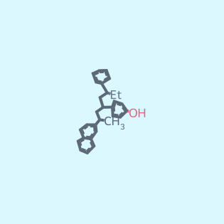 CCC(CC(CC(C)c1ccc2ccccc2c1)c1ccc(O)cc1)c1ccccc1